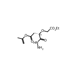 C=C(C)OC(=O)C[C@H](OCC(=O)OCC)C(=O)NN